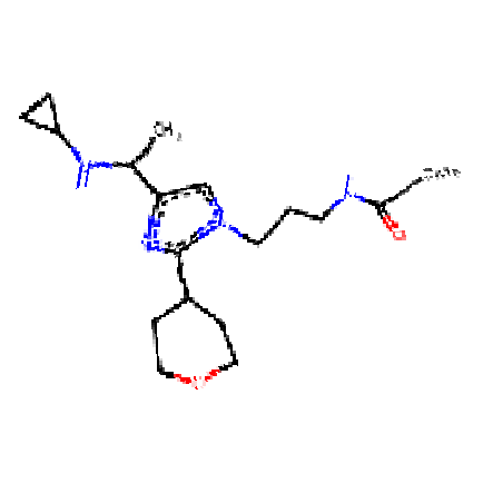 COC(=O)NCCCn1cc(C(C)NC2CC2)nc1C1CCOCC1